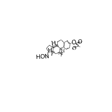 C[C@]12C[C@H](F)[C@@H]3c4ccc(OS(C)(=O)=O)cc4CC[C@H]3[C@@H]1CCC2=NO